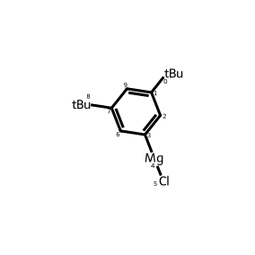 CC(C)(C)c1c[c]([Mg][Cl])cc(C(C)(C)C)c1